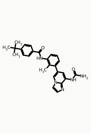 Cc1c(NC(=O)c2ccc(C(C)(C)C)cc2)cccc1-c1cc(NC(N)=O)c2nccn2c1